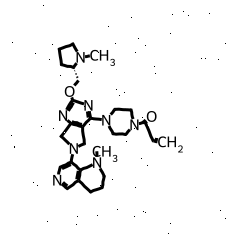 C=CC(=O)N1CCN(c2nc(OC[C@@H]3CCCN3C)nc3c2CN(c2cncc4c2N(C)CCC4)C3)CC1